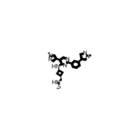 CSNC[C@H]1C[C@@H](Nc2nc(-c3cccc(-c4cnn(C)c4)c3)ncc2-c2cnn(C)c2)C1